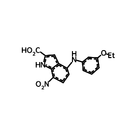 CCOc1cccc(Nc2ccc([N+](=O)[O-])c3[nH]c(C(=O)O)cc23)c1